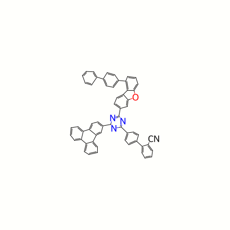 N#Cc1ccccc1-c1ccc(-c2nc(-c3ccc4c(c3)oc3cccc(-c5ccc(-c6ccccc6)cc5)c34)nc(-c3ccc4c5ccccc5c5ccccc5c4c3)n2)cc1